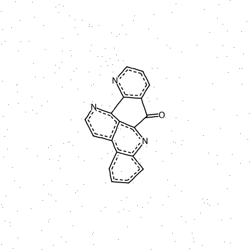 O=C1c2cccnc2-c2nccc3c2c1nc1ccccc13